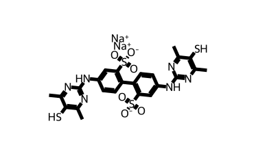 Cc1nc(Nc2ccc(-c3ccc(Nc4nc(C)c(S)c(C)n4)cc3S(=O)(=O)[O-])c(S(=O)(=O)[O-])c2)nc(C)c1S.[Na+].[Na+]